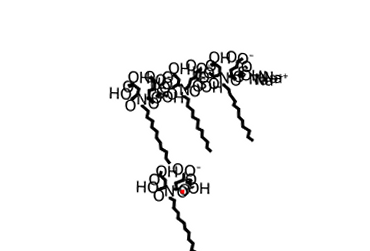 CCCCCCCCCCCCN(C(=O)CC(C(=O)[O-])S(=O)(=O)O)C(CC(=O)O)C(=O)O.CCCCCCCCCCCCN(C(=O)CC(C(=O)[O-])S(=O)(=O)O)C(CC(=O)O)C(=O)O.CCCCCCCCCCCCN(C(=O)CC(C(=O)[O-])S(=O)(=O)O)C(CC(=O)O)C(=O)O.CCCCCCCCCCCCN(C(=O)CC(C(=O)[O-])S(=O)(=O)O)C(CC(=O)O)C(=O)O.[Na+].[Na+].[Na+].[Na+]